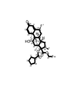 C[C@@H]1C[C@H]2[C@@H]3C[C@H](F)C4=CC(=O)C=C[C@]4(C)[C@@]3(F)[C@@H](O)C[C@]2(C)[C@@]1(OC(=O)C1CCCC1)C(=O)OCF